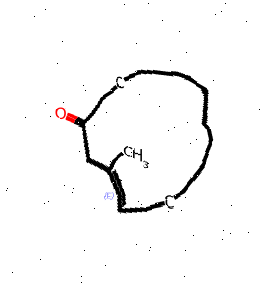 C/C1=C\CCCCCCCCCCCC(=O)C1